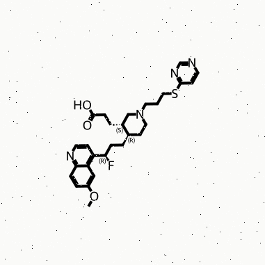 COc1ccc2nccc([C@H](F)CC[C@@H]3CCN(CCCSc4ccncn4)C[C@H]3CCC(=O)O)c2c1